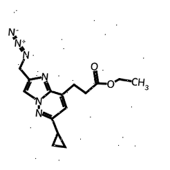 CCOC(=O)CCc1cc(C2CC2)nn2cc(CN=[N+]=[N-])nc12